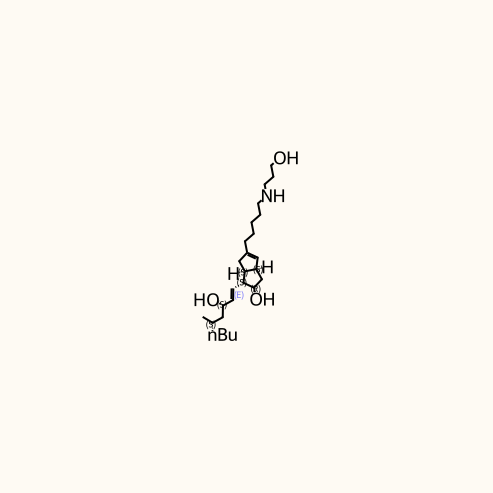 CCCC[C@H](C)C[C@H](O)/C=C/[C@@H]1[C@H]2CC(CCCCCNCCCO)=C[C@H]2C[C@H]1O